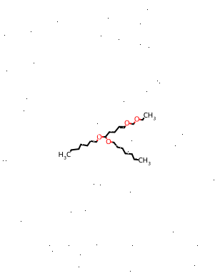 CCCCCCCOC(CCC=COCOCC)OCCCCCCC